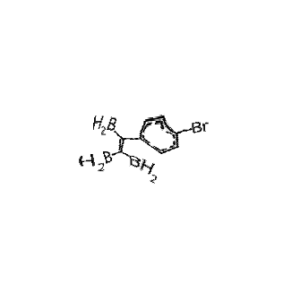 BC(B)=C(B)c1ccc(Br)cc1